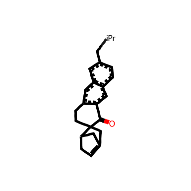 CC(C)Cc1ccc2cc3c(cc2c1)CCC1(CC2=CCC1C2)C3=O